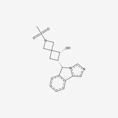 CS(=O)(=O)N1CC2(C[C@@H](C3c4ccccc4-c4cncn43)[C@H]2O)C1